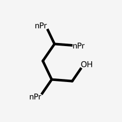 CCCC(CO)CC(CCC)CCC